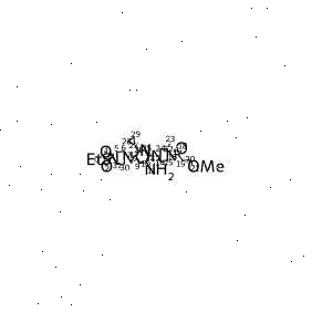 CCS(=O)(=O)N1CCN(c2cc(N)c(N3CCN(C(=O)CCOC)[C@H](C)C3)nc2C2CC2)CC1